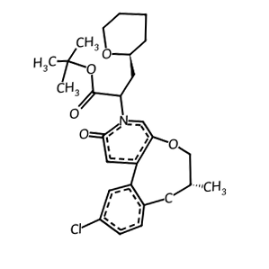 C[C@H]1COc2cn(C(C[C@@H]3CCCCO3)C(=O)OC(C)(C)C)c(=O)cc2-c2cc(Cl)ccc2C1